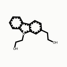 OCCc1ccc2c3ccccc3n(CCO)c2c1